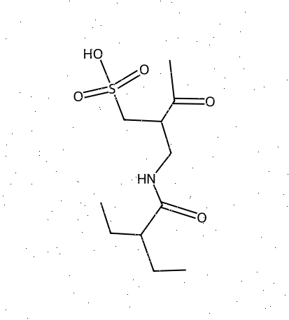 CCC(CC)C(=O)NCC(CS(=O)(=O)O)C(C)=O